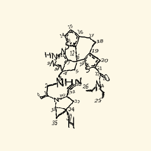 C=C(CNCCC1(c2nn[nH]n2)c2sccc2CCc2cc(C(=O)N(C)C)sc21)N1C(C#N)C[C@@H]2CC21